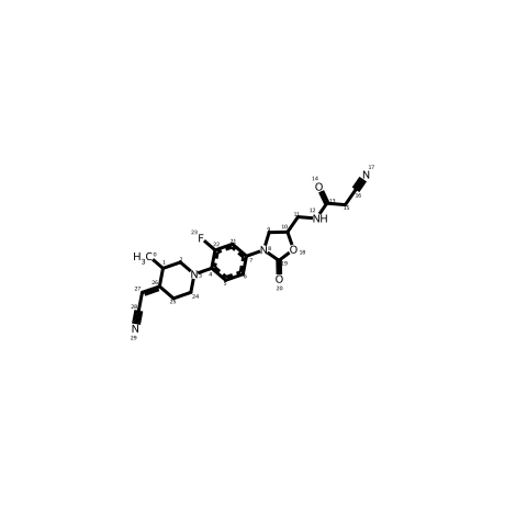 CC1CN(c2ccc(N3CC(CNC(=O)CC#N)OC3=O)cc2F)CCC1=CC#N